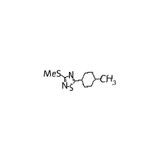 CSc1nsc(C2CCC(C)CC2)n1